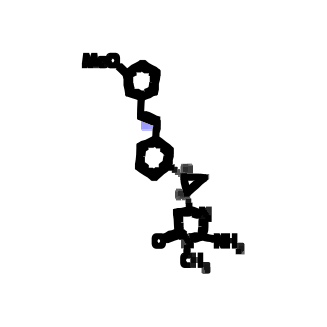 COc1cccc(/C=C/c2cccc([C@@H]3C[C@@H]3c3cc(=O)n(C)c(N)n3)c2)c1